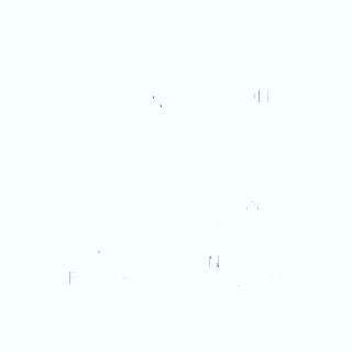 CC(=O)N1Cc2c(cc(CN3CC(C)(CO)C3)cc2C(F)(F)F)C1=O